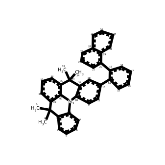 CC1(C)c2ccccc2N2c3ccc(-c4ccccc4-c4cccc5ccccc45)cc3C(C)(C)c3cccc1c32